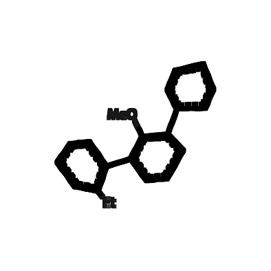 CCc1ccccc1-c1cccc(-c2ccccc2)c1OC